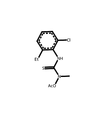 CCc1cccc(Cl)c1NC(=S)N(C)OC(C)=O